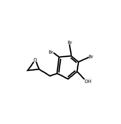 Oc1cc(CC2CO2)c(Br)c(Br)c1Br